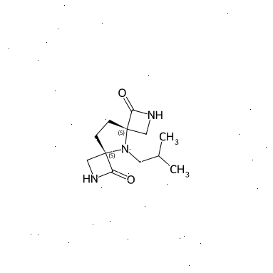 CC(C)CN1[C@@]2(CC[C@@]13CNC3=O)CNC2=O